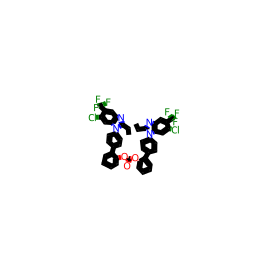 CCc1nc2cc(C(F)(F)F)c(Cl)cc2n1-c1ccc(-c2ccccc2OC(=O)Oc2ccccc2-c2ccc(-n3c(CC)nc4cc(C(F)(F)F)c(Cl)cc43)cc2)cc1